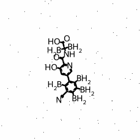 Bc1c(B)c(C#N)c(B)c(-c2cnc(C(=O)NC(B)(B)C(=O)O)c(O)c2)c1B